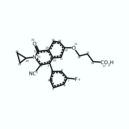 N#Cc1c(-c2cccc(F)c2)c2cc(OCCCC(=O)O)ccc2c(=O)n1C1CC1